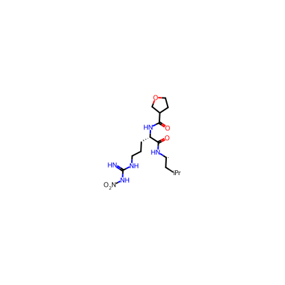 CC(C)C[CH]NC(=O)[C@H](CCCNC(=N)N[N+](=O)[O-])NC(=O)C1CCOC1